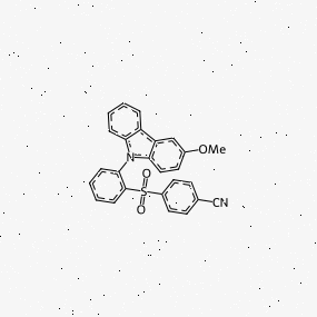 COc1ccc2c(c1)c1ccccc1n2-c1ccccc1S(=O)(=O)c1ccc(C#N)cc1